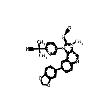 Cn1c(=NC#N)n(-c2ccc(C(C)(C)C#N)nc2)c2c3cc(-c4ccc5c(c4)OCO5)ccc3ncc21